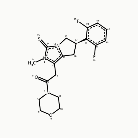 Cn1c(CC(=O)N2CCOCC2)c2n(c1=S)C[C@@H](c1c(F)cccc1F)C2